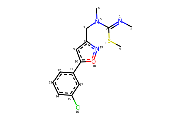 CN=C(SC)N(C)Cc1cc(-c2cccc(Cl)c2)on1